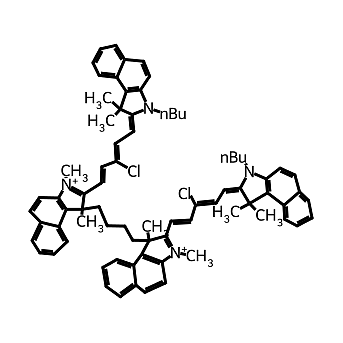 CCCCN1/C(=C/C=C(Cl)/C=C/C2=[N+](C)c3ccc4ccccc4c3C2(C)CCCCC2(C)C(/C=C/C(Cl)=C/C=C3/N(CCCC)c4ccc5ccccc5c4C3(C)C)=[N+](C)c3ccc4ccccc4c32)C(C)(C)c2c1ccc1ccccc21